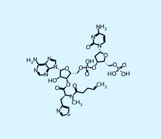 C=CCCC(=O)N(C)[C@@H](Cc1cscn1)C(=O)O[C@H]1[C@@H](O)[C@H](n2cnc3c(N)ncnc32)O[C@@H]1COP(=O)(O)O[C@H]1C[C@H](n2ccc(N)nc2=O)O[C@@H]1COP(=O)(O)O